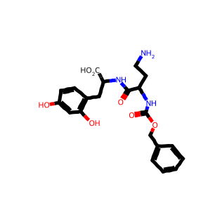 NCCC(NC(=O)OCc1ccccc1)C(=O)NC(Cc1ccc(O)cc1O)C(=O)O